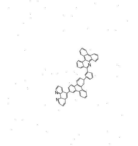 C1=CC2C=C(c3ccc4c5c(c6ccccc6c4c3)CC(c3cccc(-c4nc6c7ccccc7c7ccccc7c6c6ccccc46)c3)C=C5)c3cccnc3C2N=C1